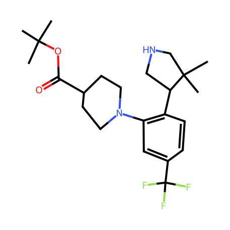 CC(C)(C)OC(=O)C1CCN(c2cc(C(F)(F)F)ccc2C2CNCC2(C)C)CC1